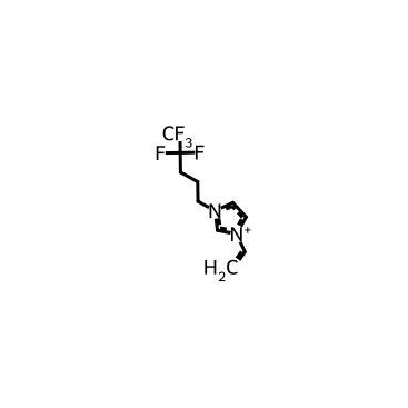 C=C[n+]1ccn(CCCC(F)(F)C(F)(F)F)c1